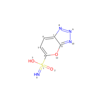 N=S(=O)(O)c1ccc2nnnc-2o1